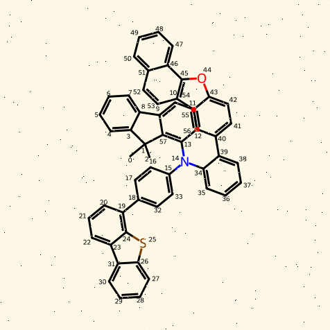 CC1(C)c2ccccc2-c2cccc(N(c3ccc(-c4cccc5c4sc4ccccc45)cc3)c3ccccc3-c3ccc4oc5c6ccccc6ccc5c4c3)c21